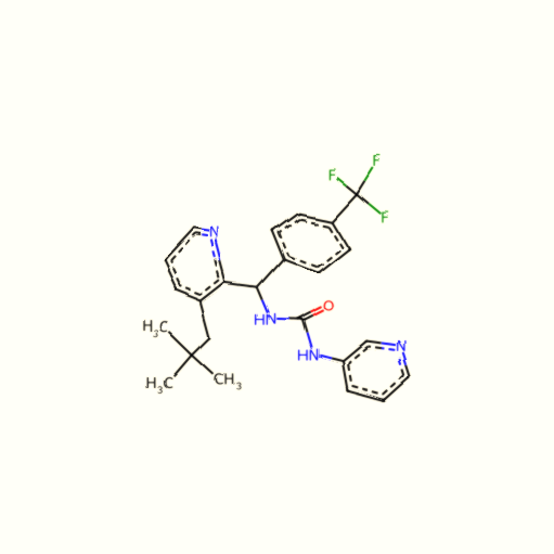 CC(C)(C)Cc1cccnc1C(NC(=O)Nc1cccnc1)c1ccc(C(F)(F)F)cc1